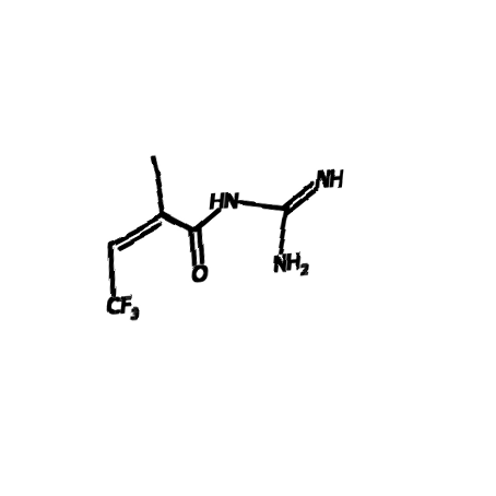 CC(=CC(F)(F)F)C(=O)NC(=N)N